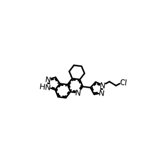 ClCCn1cc(-c2nc3ccc4[nH]ncc4c3c3c2CCCC3)cn1